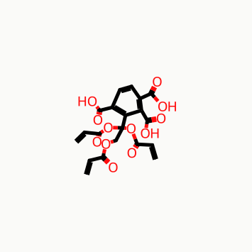 C=CC(=O)OCC(OC(=O)C=C)(OC(=O)C=C)c1c(C(=O)O)ccc(C(=O)O)c1C(=O)O